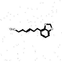 O=[C]CC/C=C/CCc1cccc2c1OCO2